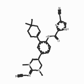 CN1CC(c2ccc(NC(=O)c3nc(C#N)c[nH]3)c(C3=CCC(C)(C)CC3)c2)CN(C)C1=NC#N